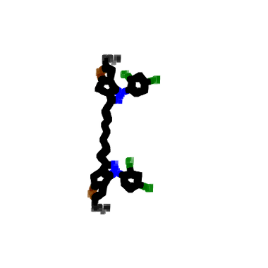 O=S(=O)(O)c1cc2c(s1)Cc1c(/C=C/CCC/C=C/c3nn(-c4ccc(Cl)cc4Cl)c4c3Cc3sc(S(=O)(=O)O)cc3-4)nn(-c3ccc(Cl)cc3Cl)c1-2